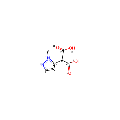 Cn1nccc1C(C(=O)O)C(=O)O